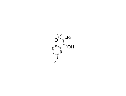 CCc1ccc2c(c1)[C@@H](O)[C@H](Br)C(C)(C)O2